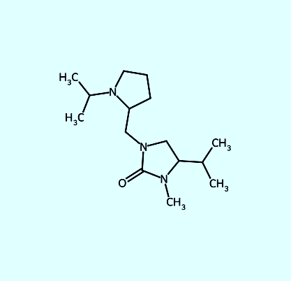 CC(C)C1CN(CC2CCCN2C(C)C)C(=O)N1C